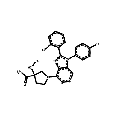 CC(C)NC1(C(N)=O)CCN(c2nncc3c2nc(-c2ccccc2Cl)n3-c2ccc(Cl)cc2)C1